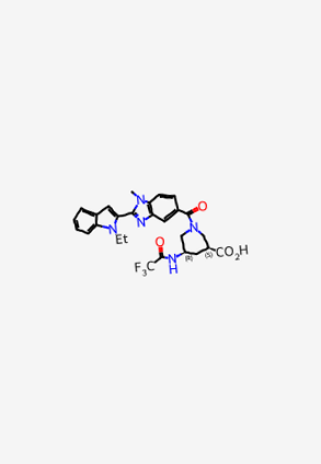 CCn1c(-c2nc3cc(C(=O)N4C[C@H](NC(=O)C(F)(F)F)C[C@H](C(=O)O)C4)ccc3n2C)cc2ccccc21